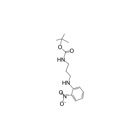 CC(C)(C)OC(=O)NCCCNc1ccccc1[N+](=O)[O-]